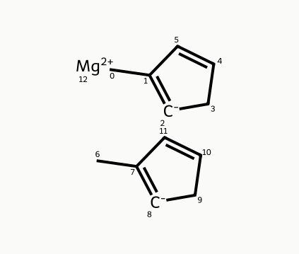 CC1=[C-]CC=C1.CC1=[C-]CC=C1.[Mg+2]